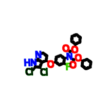 O=C(Oc1ccccc1)N(C(=O)Oc1ccccc1)c1ccc(Oc2ccnc3[nH]c(Cl)c(Cl)c23)cc1F